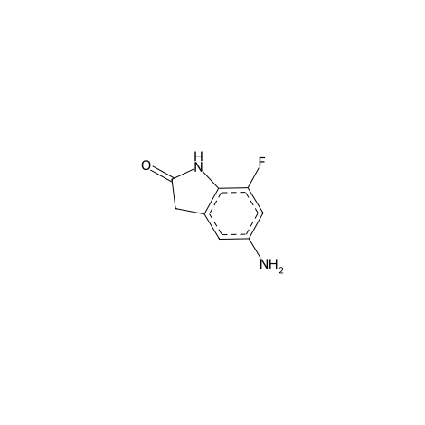 Nc1cc(F)c2c(c1)CC(=O)N2